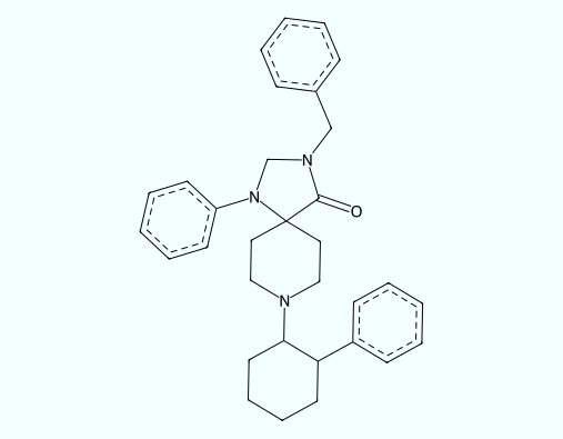 O=C1N(Cc2ccccc2)CN(c2ccccc2)C12CCN(C1CCCCC1c1ccccc1)CC2